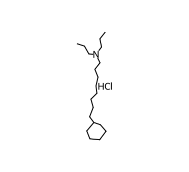 CCCN(CCC)CCCCCCCCC1CCCCC1.Cl